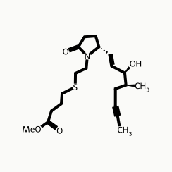 CC#CC[C@H](C)[C@H](O)/C=C/[C@H]1CCC(=O)N1CCSCCCC(=O)OC